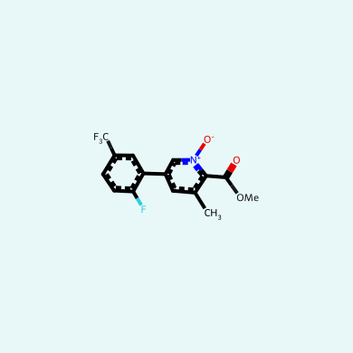 COC(=O)c1c(C)cc(-c2cc(C(F)(F)F)ccc2F)c[n+]1[O-]